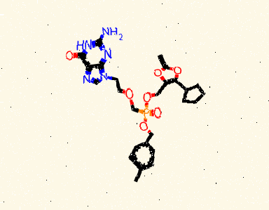 C=C1OC(COP(=O)(COCCn2cnc3c(=O)[nH]c(N)nc32)OCc2ccc(C)cc2)=C(C2CCCC2)O1